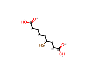 O=C(O)CCCCC(S)CCC(=O)O